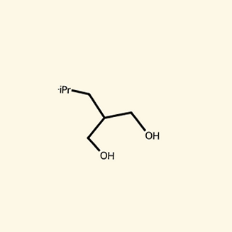 C[C](C)CC(CO)CO